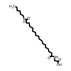 CCCCCCNC(=O)CCCCCCCCCCCCCCCCC(=O)NCC(=O)O